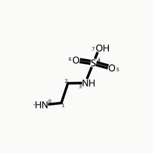 [NH]CCNS(=O)(=O)O